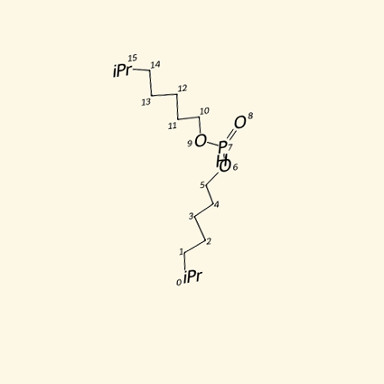 CC(C)CCCCCO[PH](=O)OCCCCCC(C)C